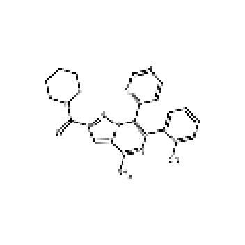 N#Cc1ccccc1-c1nc(N)c2cc(C(=O)N3CCCCC3)nn2c1-c1ccncn1